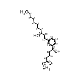 CCCCCCCCC(O)C=Cc1cccc(C(O)CCCC(=O)OC)n1